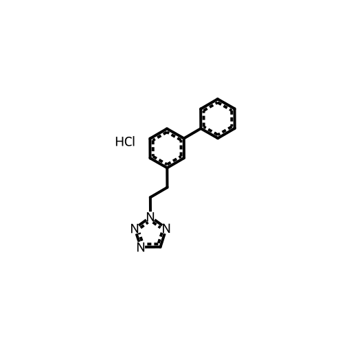 Cl.c1ccc(-c2cccc(CCn3ncnn3)c2)cc1